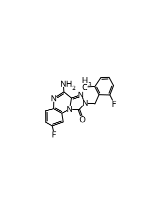 Cc1cccc(F)c1Cn1nc2c(N)nc3ccc(F)cc3n2c1=O